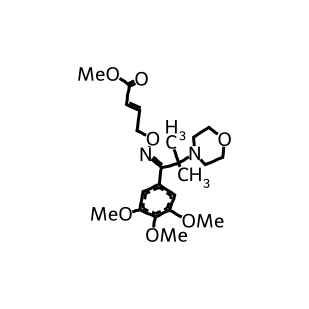 COC(=O)/C=C/CON=C(c1cc(OC)c(OC)c(OC)c1)C(C)(C)N1CCOCC1